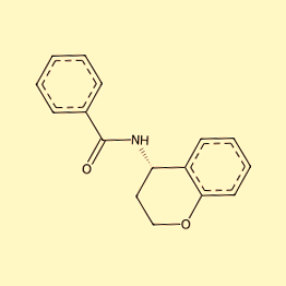 O=C(N[C@H]1CCOc2ccccc21)c1ccccc1